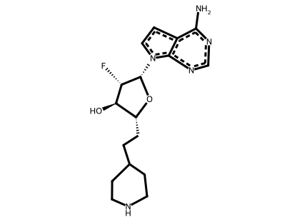 Nc1ncnc2c1ccn2[C@@H]1O[C@H](CCC2CCNCC2)[C@@H](O)[C@@H]1F